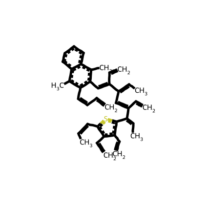 C=C/C=C\c1c(/C=C(C=C)/C(/C=C(C=C)/C(=C/C)c2sc(/C=C\C)c(C=C)c2C=C)=C/C)c(C)c2ccccc2c1C